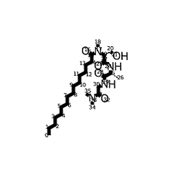 CCCCCCCCCCCCCCCC(=O)N(C)[C@H](CO)C(=O)N[C@H](C)C(=O)NCC(=O)N(C)C